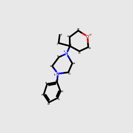 CCC1(N2CCN(c3ccccc3)CC2)CCOCC1